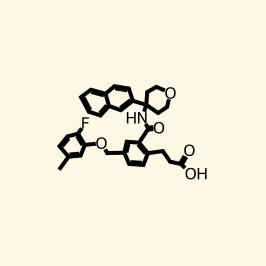 Cc1ccc(F)c(OCc2ccc(CCC(=O)O)c(C(=O)NC3(c4ccc5ccccc5c4)CCOCC3)c2)c1